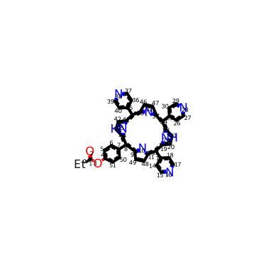 CCC(=O)Oc1ccc(-c2c3nc(c(-c4ccncc4)c4ccc([nH]4)c(-c4ccncc4)c4nc(c(-c5ccncc5)c5ccc2[nH]5)C=C4)C=C3)cc1